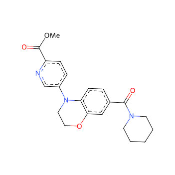 COC(=O)c1ccc(N2CCOc3cc(C(=O)N4CCCCC4)ccc32)cn1